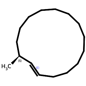 C[C@@H]1/C=C/CCCCCCCCCCCC1